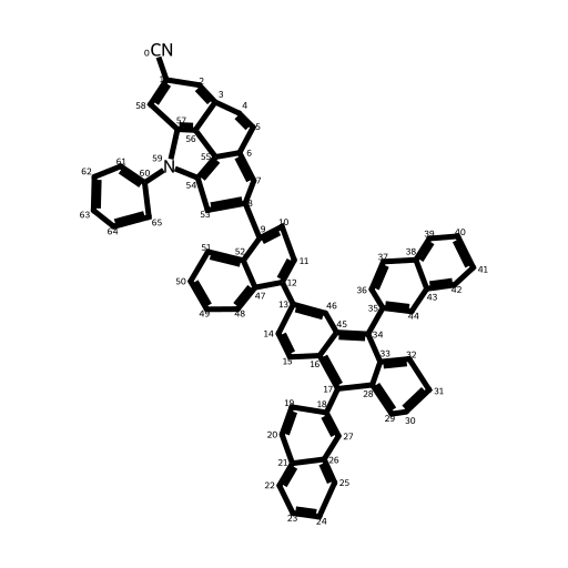 N#Cc1cc2ccc3cc(-c4ccc(-c5ccc6c(-c7ccc8ccccc8c7)c7ccccc7c(-c7ccc8ccccc8c7)c6c5)c5ccccc45)cc4c3c2c(c1)n4-c1ccccc1